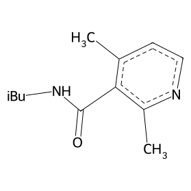 CCC(C)NC(=O)c1c(C)ccnc1C